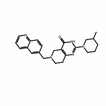 CC1CCCN(c2nc3c(c(=O)[nH]2)CN(Cc2ccc4ncccc4c2)CC3)C1